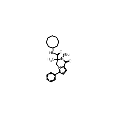 CCCCN1C(=O)c2ccc(-c3ccccc3)n2CC1(C)C(=O)NC1CCCCCCC1